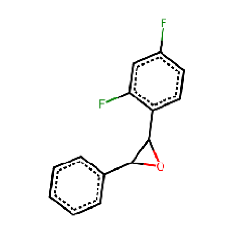 Fc1ccc(C2OC2c2ccccc2)c(F)c1